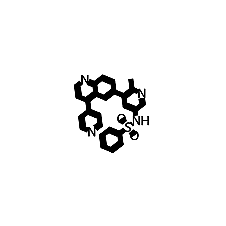 Cc1ncc(NS(=O)(=O)c2ccccc2)cc1-c1ccc2nccc(-c3ccncc3)c2c1